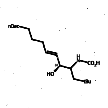 CCCCCCCCCCCCCC=C[C@H](O)C(CC(C)(C)C)NC(=O)O